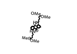 COC(CCCCNc1cccc2c1C(=O)c1cccc(NCCCCC(OC)OC)c1C2=O)OC